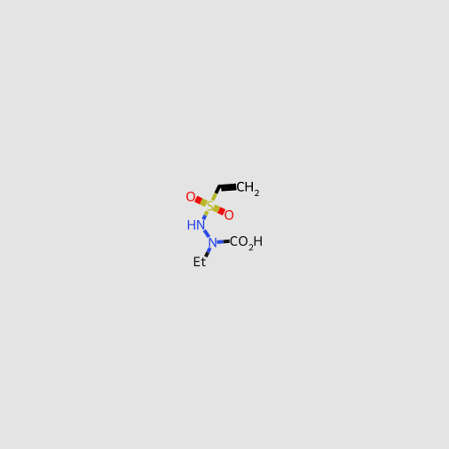 C=CS(=O)(=O)NN(CC)C(=O)O